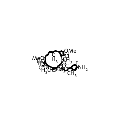 COc1cc2cc(c1Cl)N(C)C(=O)C[C@H](OC(=O)CC(C)C(C)c1cc(F)c(N)cc1F)[C@]1(C)O[C@H]1[C@H](C)[C@@H]1C[C@@](O)(NC(=O)O1)[C@H](OC)/C=C/C=C(\C)C2